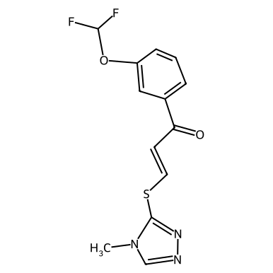 Cn1cnnc1S/C=C/C(=O)c1cccc(OC(F)F)c1